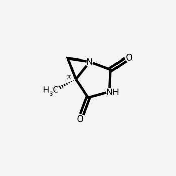 C[C@]12CN1C(=O)NC2=O